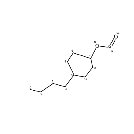 CCCCC1CCC(OP=O)CC1